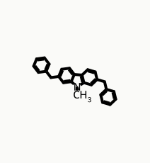 Cn1c2cc(Cc3ccccc3)ccc2c2ccc(Cc3ccccc3)cc21